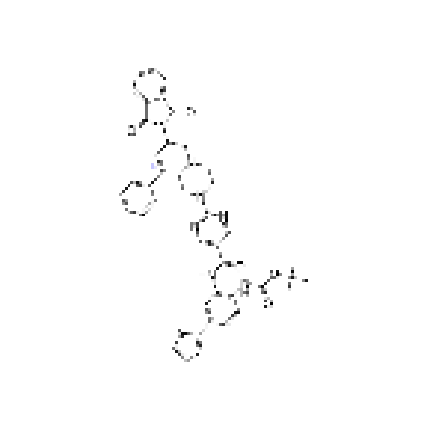 CC(C)(C)OC(=O)Nc1ccc(-c2cccs2)cc1NC(=O)c1cnc(N2CCN(CC(/C=C/c3ccccc3)N3C(=O)c4ccccc4C3=O)CC2)nc1